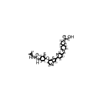 O=C(Nc1ccc(Oc2ccnc3cc(-c4ccc(CN5CCC6(CC5)CCN(C(=O)CO)C6)cn4)sc23)c(F)c1)NC1CC1